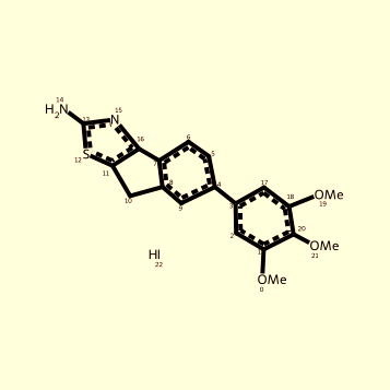 COc1cc(-c2ccc3c(c2)Cc2sc(N)nc2-3)cc(OC)c1OC.I